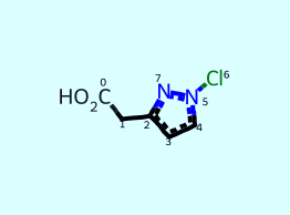 O=C(O)Cc1ccn(Cl)n1